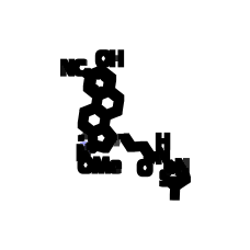 CO/N=C1\C[C@@H](CCCC(=O)Nc2ncc(C)s2)C2C3CCc4cc(O)c(C#N)cc4C3CC[C@]12C